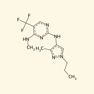 CCCn1cc(Nc2ncc(C(F)(F)F)c(NC)n2)c(C)n1